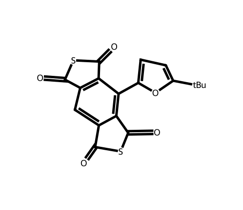 CC(C)(C)c1ccc(-c2c3c(=O)sc(=O)c3cc3c(=O)sc(=O)c23)o1